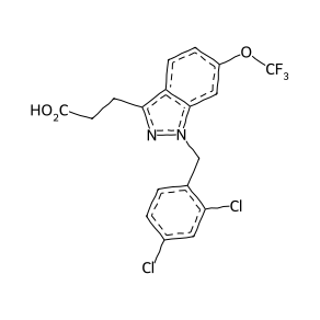 O=C(O)CCc1nn(Cc2ccc(Cl)cc2Cl)c2cc(OC(F)(F)F)ccc12